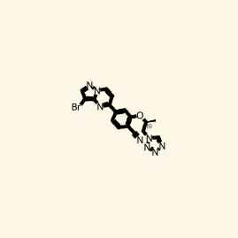 C[C@@H](Cn1cnnn1)Oc1cc(-c2ccn3ncc(Br)c3n2)ccc1C#N